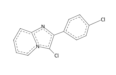 Clc1ccc(-c2nc3ccccn3c2Cl)cc1